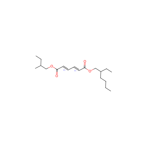 CCCCC(CC)COC(=O)/C=C/C=C/C(=O)OCC(C)CC